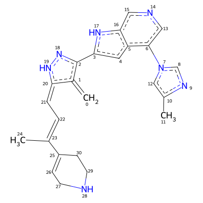 C=c1c(-c2cc3c(-n4cnc(C)c4)cncc3[nH]2)n[nH]/c1=C/C=C(\C)C1=CCNCC1